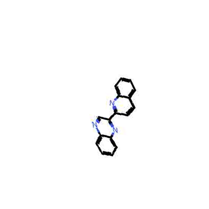 [c]1nc2ccccc2nc1-c1ccc2ccccc2n1